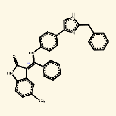 O=C1Nc2ccc([N+](=O)[O-])cc2/C1=C(/Nc1ccc(-c2c[nH]c(Cc3ccccc3)n2)cc1)c1ccccc1